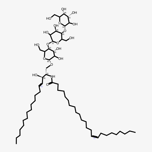 CCCCCCCC/C=C\CCCCCCCCCCCCCC(=O)N[C@@H](CO[C@@H]1OC(CO)[C@@H](O[C@@H]2OC(CO)[C@H](O[C@@H]3OC(CO)[C@H](O)[C@H](O)C3O)[C@H](O)C2O)[C@H](O)C1O)[C@H](O)/C=C/CCCCCCCCCCCCC